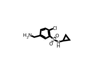 NCc1ccc(Cl)c(S(=O)(=O)NC2CC2)c1